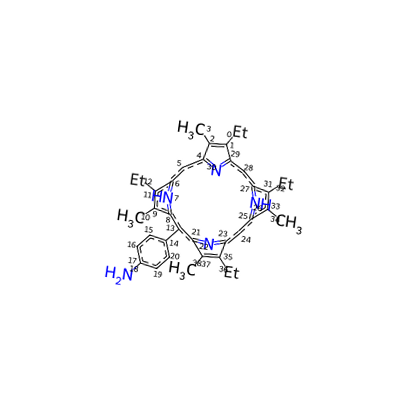 CCC1=C(C)c2cc3[nH]c(c(C)c3CC)c(-c3ccc(N)cc3)c3nc(cc4[nH]c(cc1n2)c(CC)c4C)C(CC)=C3C